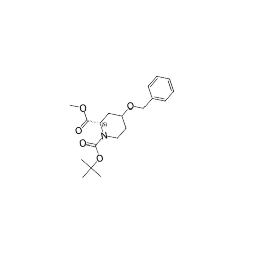 COC(=O)[C@@H]1CC(OCc2ccccc2)CCN1C(=O)OC(C)(C)C